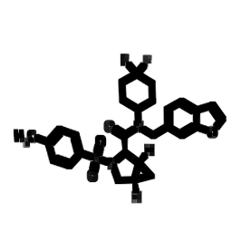 Cc1ccc(S(=O)(=O)N2C[C@H]3C[C@H]3[C@@H]2C(=O)N(Cc2ccc3ccoc3c2)C2CCC(F)(F)CC2)cc1